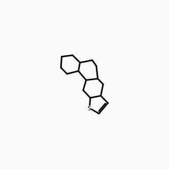 C1=CC2CC3CCC4CCCCC4C3CC2S1